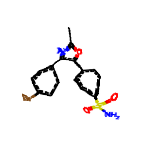 Cc1nc(-c2ccc(Br)cc2)c(-c2ccc(S(N)(=O)=O)cc2)o1